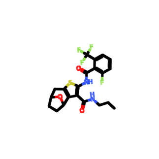 CCCNC(=O)c1c(NC(=O)c2c(F)cccc2C(F)(F)F)sc2c1C1CCC(C2)O1